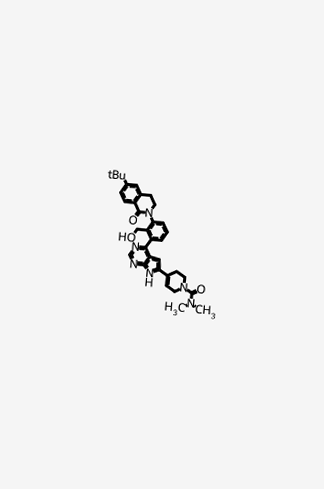 CN(C)C(=O)N1CC=C(c2cc3c(-c4cccc(N5CCc6cc(C(C)(C)C)ccc6C5=O)c4CO)ncnc3[nH]2)CC1